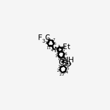 CCc1cn(Cc2ccc(C(F)(F)F)cc2)c2ccc(NS(=O)(=O)C3CCCCC3)cc12